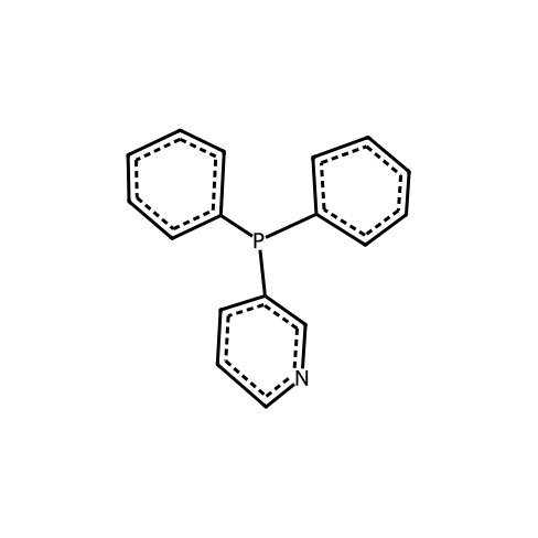 c1ccc(P(c2ccccc2)c2cccnc2)cc1